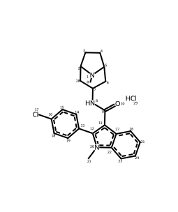 CN1C2CCC1CC(NC(=O)c1c(-c3ccc(Cl)cc3)n(C)c3ccccc13)C2.Cl